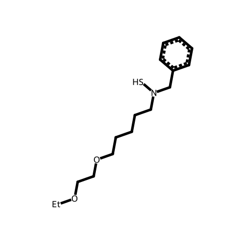 CCOCCOCCCCCN(S)Cc1ccccc1